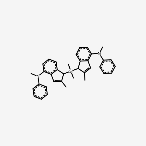 CC1=Cc2c(cccc2N(C)c2ccccc2)C1[Si](C)(C)C1C(C)=Cc2c1cccc2N(C)c1ccccc1